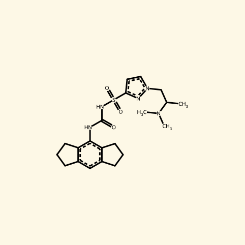 CC(Cn1ccc(S(=O)(=O)NC(=O)Nc2c3c(cc4c2CCC4)CCC3)n1)N(C)C